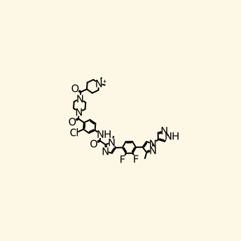 Cc1nn(-c2cn[nH]c2)cc1-c1ccc(-c2cnc(C(=O)Nc3ccc(C(=O)N4CCN(C(=O)C5CC[N+](C)(C)CC5)CC4)c(Cl)c3)n2C)c(F)c1F